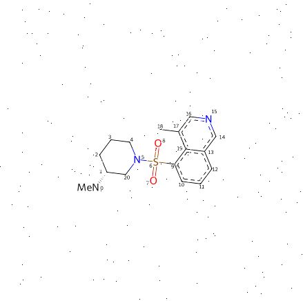 CN[C@@H]1CCCN(S(=O)(=O)c2cccc3cncc(C)c23)C1